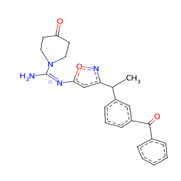 CC(c1cccc(C(=O)c2ccccc2)c1)c1cc(/N=C(/N)N2CCC(=O)CC2)on1